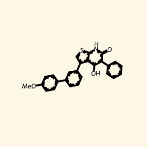 COc1ccc(-c2cccc(-c3csc4[nH]c(=O)c(-c5ccccc5)c(O)c34)c2)cc1